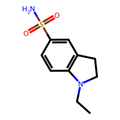 CCN1CCc2cc(S(N)(=O)=O)ccc21